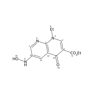 CCOC(=O)c1cn(CC)c2ncc(NO)cc2c1=O